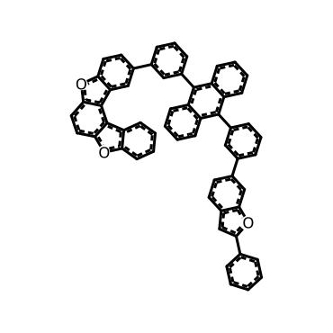 c1ccc(-c2cc3ccc(-c4cccc(-c5c6ccccc6c(-c6cccc(-c7ccc8oc9ccc%10oc%11ccccc%11c%10c9c8c7)c6)c6ccccc56)c4)cc3o2)cc1